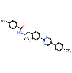 CC(C)(C)c1ccc(C(=O)N[C@@H](Cc2ccc(-c3ncc(-c4ccc(C(F)(F)F)cc4)cn3)cc2)C(=O)O)cc1